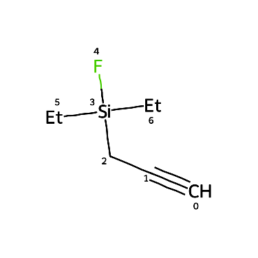 C#CC[Si](F)(CC)CC